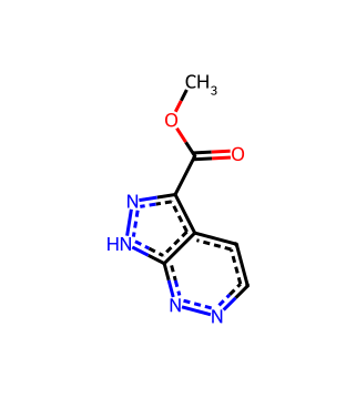 COC(=O)c1n[nH]c2nnccc12